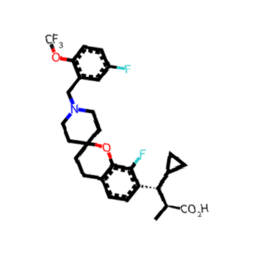 C[C@H](C(=O)O)[C@H](c1ccc2c(c1F)OC1(CC2)CCN(Cc2cc(F)ccc2OC(F)(F)F)CC1)C1CC1